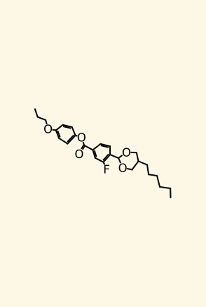 CCCCCCC1COC(c2ccc(C(=O)Oc3ccc(OCCC)cc3)cc2F)OC1